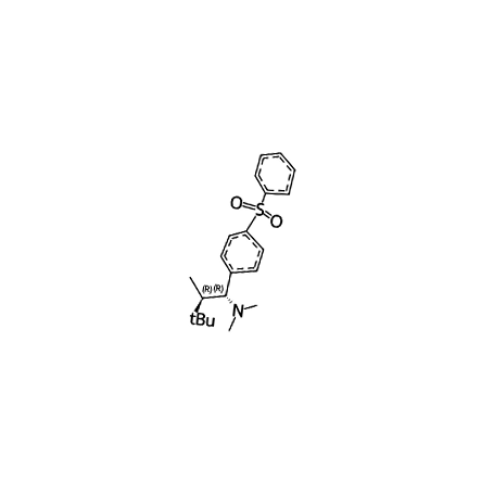 C[C@@H]([C@H](c1ccc(S(=O)(=O)c2ccccc2)cc1)N(C)C)C(C)(C)C